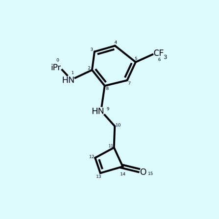 CC(C)Nc1ccc(C(F)(F)F)cc1NCC1C=CC1=O